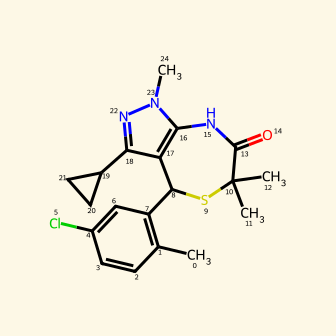 Cc1ccc(Cl)cc1C1SC(C)(C)C(=O)Nc2c1c(C1CC1)nn2C